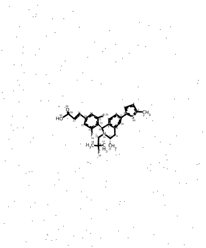 Cc1ccc(-c2ccc3c(c2)C[C@H](C)N(CC(C)(C)F)[C@H]3c2c(F)cc(/C=C/C(=O)O)cc2F)s1